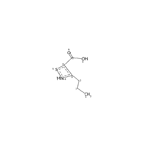 CCCc1[nH]sc1C(=O)O